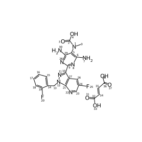 CN(C(=O)O)c1c(N)nc(-c2nn(Cc3ccccc3F)c3ncc(F)cc23)nc1N.O=C(O)C=CC(=O)O